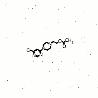 CC(=O)OCCN1CCN(c2cc(Cl)ncn2)CC1